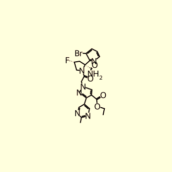 CCOC(=O)c1cn(CC(=O)N2C[C@H](F)C[C@@]2(C(N)=O)c2ncccc2Br)nc1-c1cnc(C)nc1